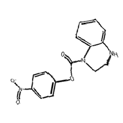 O=C(Oc1ccc([N+](=O)[O-])cc1)N1CCNc2ccccc21